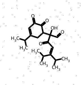 CC(C)C1=CC(=O)C(=O)C(C(O)(C=O)C(=O)C=C(C(C)C)C(C)C)C1